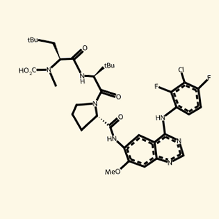 COc1cc2ncnc(Nc3ccc(F)c(Cl)c3F)c2cc1NC(=O)[C@@H]1CCCN1C(=O)[C@@H](NC(=O)[C@H](CC(C)(C)C)N(C)C(=O)O)C(C)(C)C